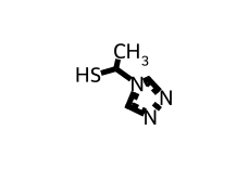 CC(S)n1cnnc1